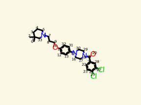 CC1(C)CCCN(CCCOc2ccc(N3CCN(C(=O)c4ccc(Cl)c(Cl)c4)CC3)cc2)C1